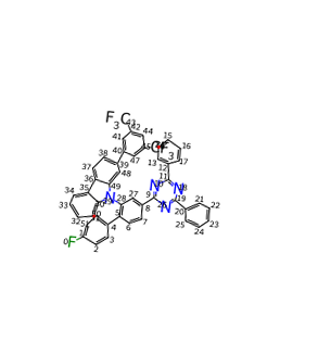 Fc1ccc(-c2ccc(-c3nc(-c4ccccc4)nc(-c4ccccc4)n3)cc2-n2c3ccccc3c3ccc(-c4cc(C(F)(F)F)cc(C(F)(F)F)c4)cc32)cc1